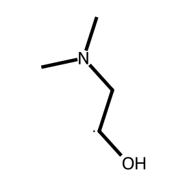 CN(C)C[CH]O